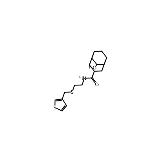 O=C(NCCSCc1ccsc1)C1CC2CCCC(C1)C2O